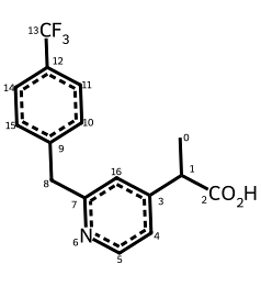 CC(C(=O)O)c1ccnc(Cc2ccc(C(F)(F)F)cc2)c1